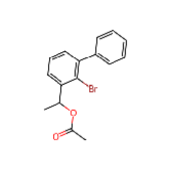 CC(=O)OC(C)c1cccc(-c2ccccc2)c1Br